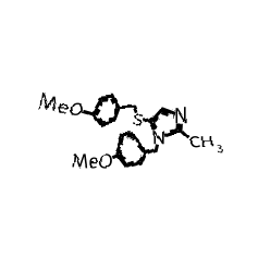 COc1ccc(CSc2cnc(C)n2Cc2ccc(OC)cc2)cc1